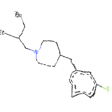 CCC(C)CC(CC)CN1CCC(Cc2cccc(F)c2)CC1